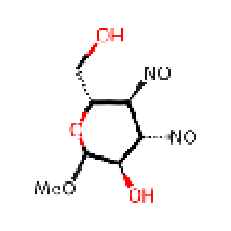 COC1O[C@H](CO)[C@@H](N=O)[C@H](N=O)[C@H]1O